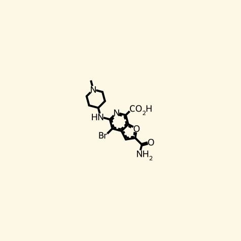 CN1CCC(Nc2nc(C(=O)O)c3oc(C(N)=O)cc3c2Br)CC1